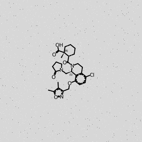 Cc1onc(COc2ccc(Cl)c3c2[C@@H](CN2CCCC2=O)N(C(=O)C2CCCC[C@@]2(C)C(=O)O)CC3)c1C